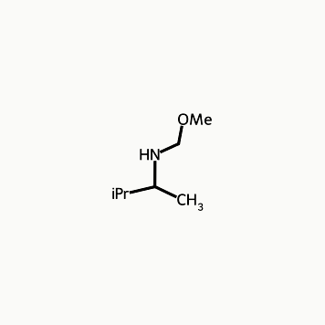 COCNC(C)C(C)C